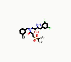 CCCC(CCC)S(=O)(=O)CCC(=O)N(Cc1cccc(CC)c1)C[C@@H](O)[C@@H](N)Cc1cc(F)cc(F)c1